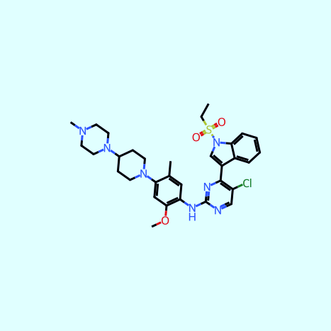 CCS(=O)(=O)n1cc(-c2nc(Nc3cc(C)c(N4CCC(N5CCN(C)CC5)CC4)cc3OC)ncc2Cl)c2ccccc21